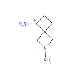 CN1CC2(CC[C@H]2N)C1